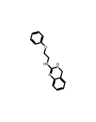 c1ccc(OCCNC2=Nc3ccccc3CN2)cc1